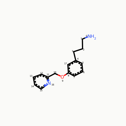 NCCCc1cccc(OCc2ccccn2)c1